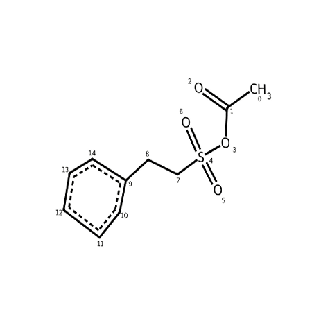 CC(=O)OS(=O)(=O)CCc1ccccc1